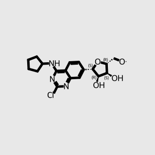 [O]C[C@H]1O[C@@H](c2ccc3c(NC4CCCC4)nc(Cl)nc3c2)[C@H](O)[C@@H]1O